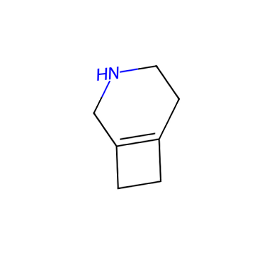 C1CC2=C(CC2)CN1